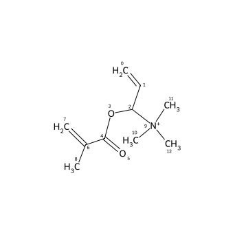 C=CC(OC(=O)C(=C)C)[N+](C)(C)C